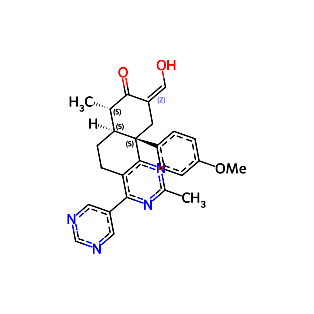 COc1ccc([C@]23C/C(=C/O)C(=O)[C@@H](C)[C@@H]2CCc2c(-c4cncnc4)nc(C)nc23)cc1